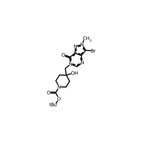 Cn1nc2c(=O)n(CC3(O)CCN(C(=O)OC(C)(C)C)CC3)cnc2c1Br